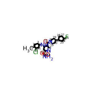 Cc1ccc(Nc2cc(S(N)(=O)=O)ncc2C(=O)N2CCC(c3ccc(F)cc3)CC2)cc1Cl